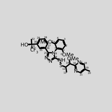 COc1cccc(OC)c1-n1c(NSC(C)C(OC)c2ncc(C)cn2)nnc1-c1cccc([C@@](C)(O)C(F)(F)F)c1